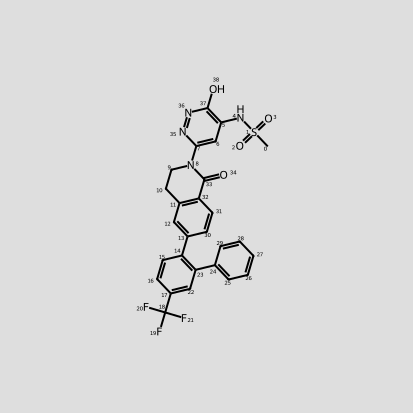 CS(=O)(=O)Nc1cc(N2CCc3cc(-c4ccc(C(F)(F)F)cc4-c4ccccc4)ccc3C2=O)nnc1O